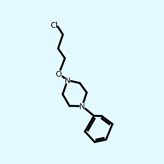 ClCCCON1CCN(c2ccccc2)CC1